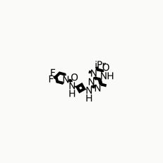 Cc1nc(N[C@H]2C[C@H](NC(=O)N3CCC(F)(F)CC3)C2)nc2c1NC(=O)C(C(C)C)N2C